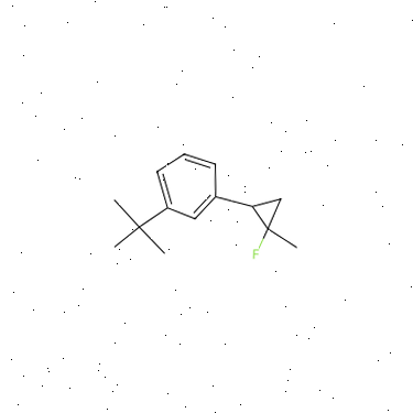 CC(C)(C)c1cccc(C2CC2(C)F)c1